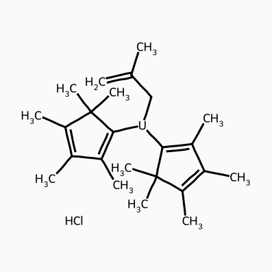 C=C(C)[CH2][U]([C]1=C(C)C(C)=C(C)C1(C)C)[C]1=C(C)C(C)=C(C)C1(C)C.Cl